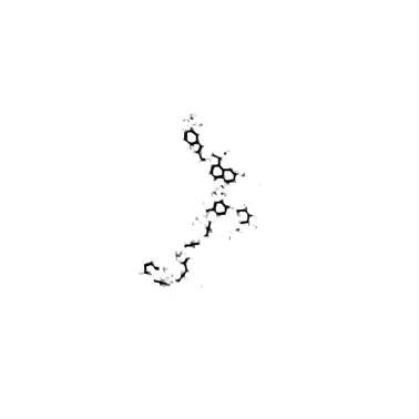 COc1ccc2c(OS(=O)(=O)Oc3cc(C(=O)N(C)CC(C)(C)COCC(C)(C)Cn4cc(CC(C)(C)COCC(C)(C)CN5C(=O)C=CC5=O)nn4)ccc3O[C@@H]3O[C@H](CO)[C@H](O)[C@H](O)[C@H]3O)cc3c(c2c1)[C@H](CCl)CN3C(=O)c1cc2cc(S(C)(=O)=O)ccc2[nH]1